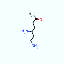 CC(=O)CC[C@H](N)CCN